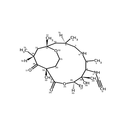 C#CNC1C(C)NC[C@H](C)C[C@@]2(C)C[C@@H](C)C(=O)[C@](C)(CCO2)C(=O)O[C@H](CC)[C@@]1(C)O